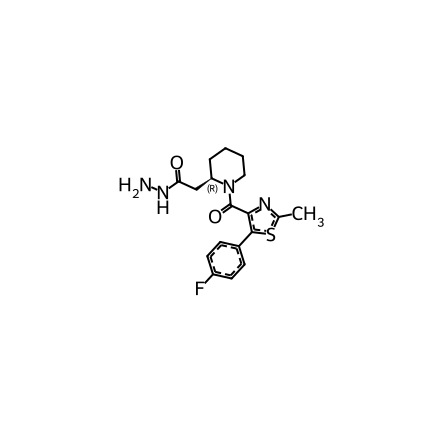 Cc1nc(C(=O)N2CCCC[C@@H]2CC(=O)NN)c(-c2ccc(F)cc2)s1